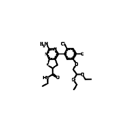 CCNC(=O)C1Cc2c(nc(N)nc2-c2cc(OCC(OCC)OCC)c(Cl)cc2Cl)S1